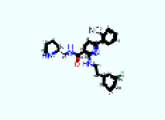 N#Cc1ccccc1-c1ccc(C(=O)NC[C@H]2CCCCN2)c(NCCc2cccc(F)c2)n1